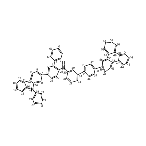 c1ccc(-c2cc(-c3ccc4c5ccccc5n(-c5ccccc5)c4c3)ccc2Nc2cccc(-c3ccc(-c4ccc5c6ccccc6c6ccccc6c5c4)cc3)c2)cc1